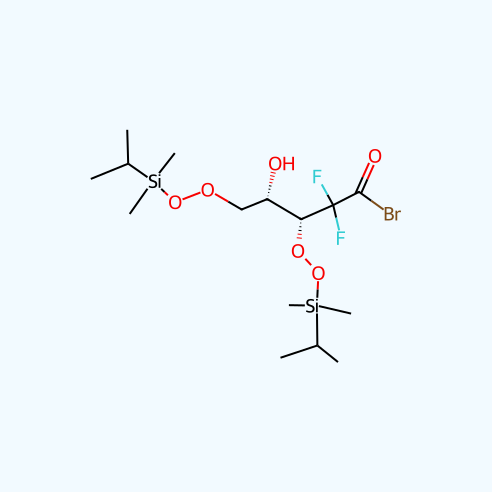 CC(C)[Si](C)(C)OOC[C@H](O)[C@@H](OO[Si](C)(C)C(C)C)C(F)(F)C(=O)Br